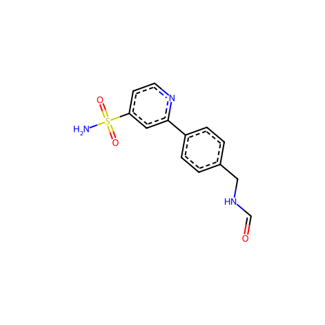 NS(=O)(=O)c1ccnc(-c2ccc(CNC=O)cc2)c1